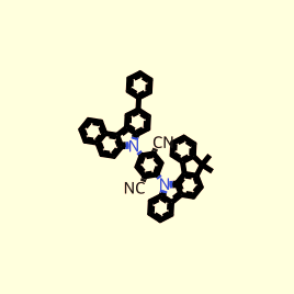 CC1(C)c2ccccc2-c2c1ccc1c3ccccc3n(-c3cc(C#N)c(-n4c5ccc(-c6ccccc6)cc5c5c6ccccc6ccc54)cc3C#N)c21